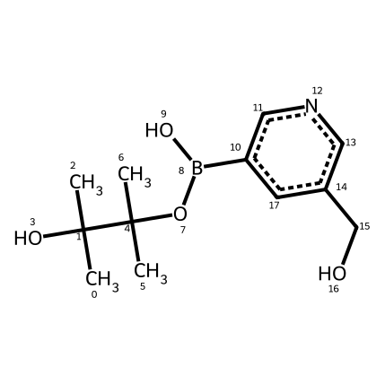 CC(C)(O)C(C)(C)OB(O)c1cncc(CO)c1